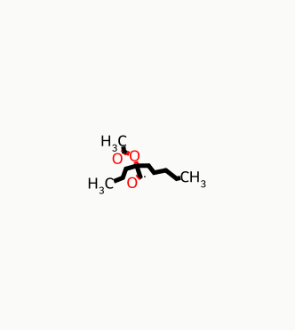 CCCCCC([C]=O)(CCC)OC(C)=O